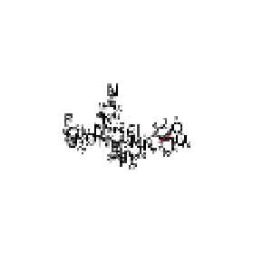 COc1ccc(CN(Cc2ccc(OC)cc2)c2cc(C)c(C(F)(F)F)c(-c3c(Cl)cc4c(N5CCC(C#N)CC5)nc(OC[C@@]56CCCN5C[C@H](F)C6)nc4c3F)n2)cc1